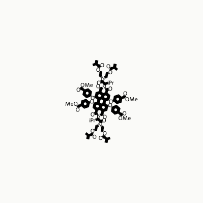 C=C(C)C(=O)OCCN(CCOC(=O)C(=C)C)C(=O)C(C(C)C)N1C(=O)c2cc(Oc3ccc(C(=O)OC)cc3)c3c4c(Oc5ccc(C(=O)OC)cc5)cc5c6c(cc(Oc7ccc(C(=O)OC)cc7)c(c7c(Oc8ccc(C(=O)OC)cc8)cc(c2c37)C1=O)c64)C(=O)N(C(C(=O)N(CCOC(=O)C(=C)C)CCOC(=O)C(=C)C)C(C)C)C5=O